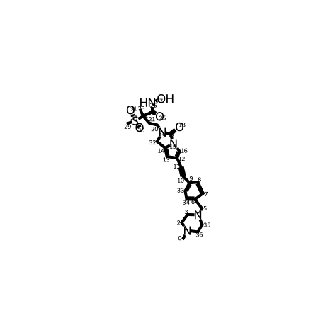 CN1CCN(Cc2ccc(C#Cc3cc4n(c3)C(=O)N(CCC(C)(C(=O)NO)S(C)(=O)=O)C4)cc2)CC1